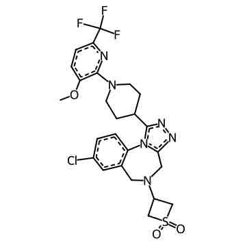 COc1ccc(C(F)(F)F)nc1N1CCC(c2nnc3n2-c2ccc(Cl)cc2CN(C2CS(=O)(=O)C2)C3)CC1